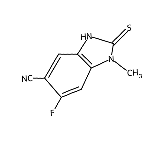 Cn1c(=S)[nH]c2cc(C#N)c(F)cc21